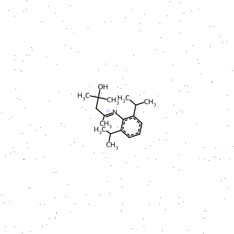 C/C(CC(C)(C)O)=N\c1c(C(C)C)cccc1C(C)C